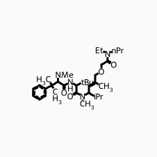 CCCN(CC)C(=O)COC/C(C)=C/C(C(C)C)N(C)C(=O)C(NC(=O)C(NC)C(C)(C)c1ccccc1)C(C)(C)C